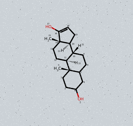 C[C@]12CCC(O)CC1CC[C@@H]1[C@@H]2CC[C@]2(C)C(O)=CC[C@@H]12